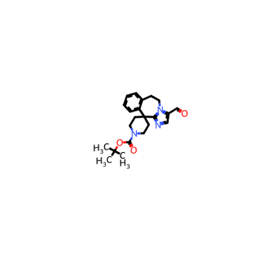 CC(C)(C)OC(=O)N1CCC2(CC1)c1ccccc1CCn1c(C=O)cnc12